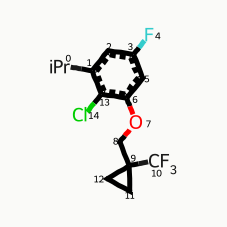 CC(C)c1cc(F)cc(OCC2(C(F)(F)F)CC2)c1Cl